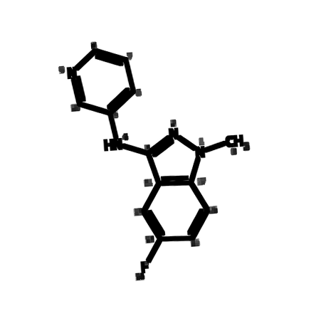 Cn1nc(Nc2cccnc2)c2cc(F)ccc21